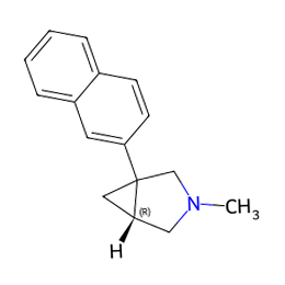 CN1C[C@@H]2CC2(c2ccc3ccccc3c2)C1